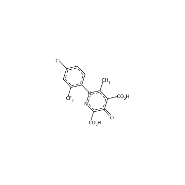 Cc1c(C(=O)O)c(=O)c(C(=O)O)nn1-c1ccc(Cl)cc1C(F)(F)F